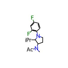 CC(=O)N(C)C1CCN(c2ccc(F)cc2F)C1C(C)C